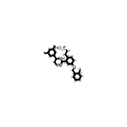 Cc1cc(C)cc(C(CC(C)C)NC(=O)c2cc(OCc3ccccc3C)ccc2CCC(=O)O)c1